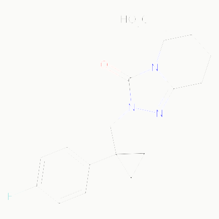 O=C(O)[C@@H]1CCCc2nn(CC3(c4ccc(F)cc4)CC3)c(=O)n21